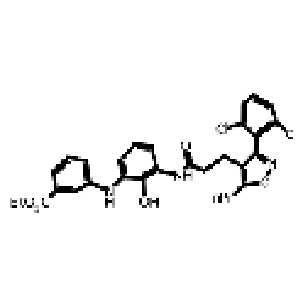 CCCc1onc(-c2c(Cl)cccc2Cl)c1CCC(=O)Nc1cccc(Nc2cccc(C(=O)OCC)c2)c1O